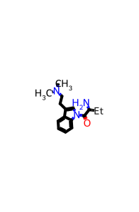 CCC(N)C(=O)n1cc(CCN(C)C)c2ccccc21